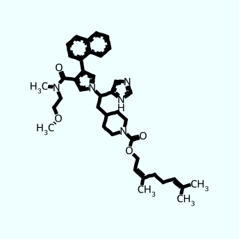 COCCN(C)C(=O)c1cn(C(CC2CCN(C(=O)OCC=C(C)CCC=C(C)C)CC2)c2cnc[nH]2)cc1-c1cccc2ccccc12